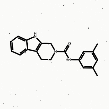 Cc1cc(C)cc(NC(=O)N2CCc3c([nH]c4ccccc34)C2)c1